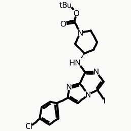 CC(C)(C)OC(=O)N1CCC[C@H](Nc2ncc(I)n3cc(-c4ccc(Cl)cc4)nc23)C1